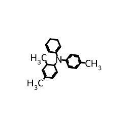 CC1=CC(C)C(N(C2=CCCC=C2)c2ccc(C)cc2)C=C1